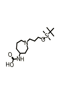 CC(C)(C)[Si](C)(C)OCCCN1CCCC(NC(=O)O)CC1